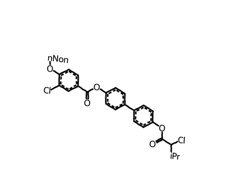 CCCCCCCCCOc1ccc(C(=O)Oc2ccc(-c3ccc(OC(=O)C(Cl)C(C)C)cc3)cc2)cc1Cl